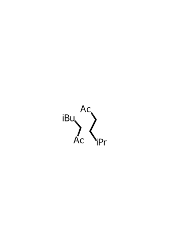 CC(=O)CCC(C)C.CCC(C)CC(C)=O